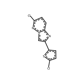 Clc1ccc2nc(-c3ccc(Cl)s3)cn2n1